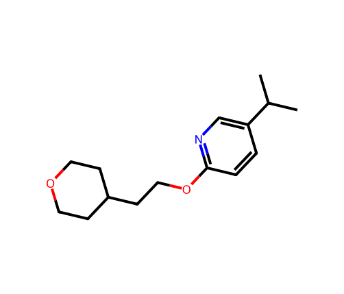 CC(C)c1ccc(OCCC2CCOCC2)nc1